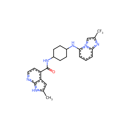 Cc1cc2c(C(=O)NC3CCC(Nc4cccc5nc(C(F)(F)F)cn45)CC3)ccnc2[nH]1